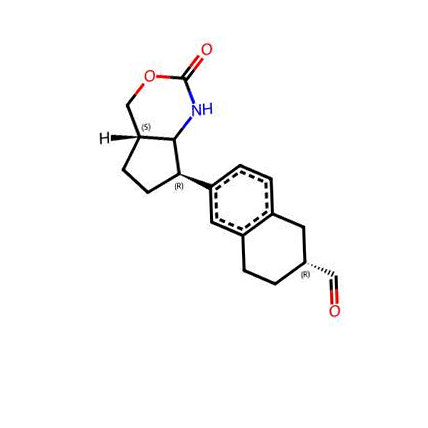 O=C[C@@H]1CCc2cc([C@H]3CC[C@@H]4COC(=O)NC43)ccc2C1